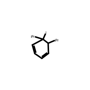 CC(C)C1C=CC=CC1(I)C(C)C